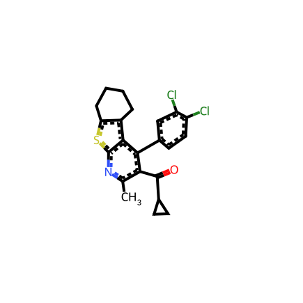 Cc1nc2sc3c(c2c(-c2ccc(Cl)c(Cl)c2)c1C(=O)C1CC1)CCCC3